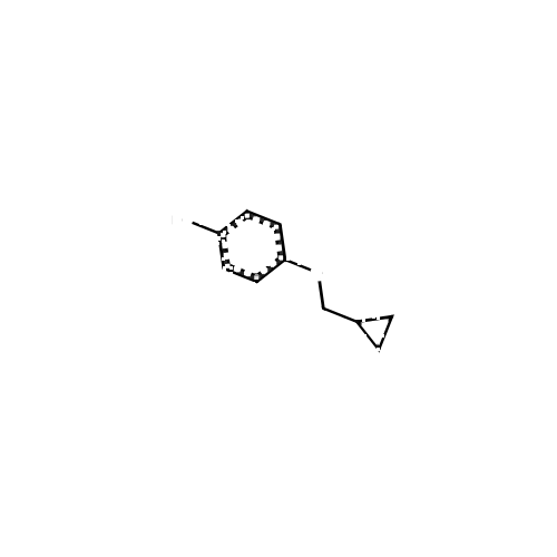 Cc1[c]cc(OCC2CC2)cc1